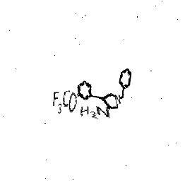 NC1CN(Cc2ccccc2)CC1c1cccc(OC(F)(F)F)c1